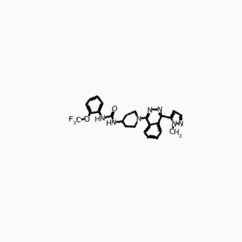 Cn1nccc1-c1nnc(N2CCC(NC(=O)Nc3ccccc3OC(F)(F)F)CC2)c2ccccc12